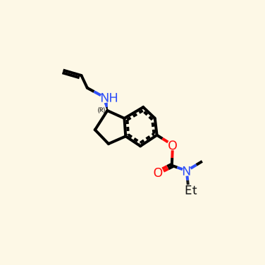 C=CCN[C@@H]1CCc2cc(OC(=O)N(C)CC)ccc21